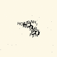 CC(C)(O)C(=O)Nc1sc(S(=O)(=O)c2nccnc2C(F)(F)F)cc1C(N)=O